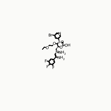 CCOCCOC(Sc1cncc(Br)c1)[C@H](CN(N)/C=C(\N)c1cc(F)c(F)c(F)c1)OS(=O)O